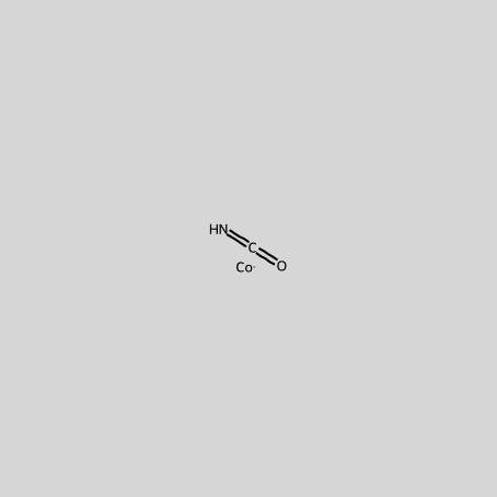 N=C=O.[Co]